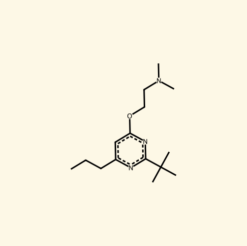 CCCc1cc(OCCN(C)C)nc(C(C)(C)C)n1